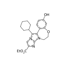 CCOC(=O)c1cn2c(C3CCCCC3)c3n(c2n1)CCOc1cc(O)ccc1-3